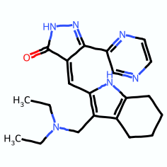 CCN(CC)Cc1c(/C=C2/C(=O)NN=C2c2cnccn2)[nH]c2c1CCCC2